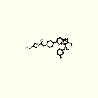 CCc1nc2ccc(C3CCN(CC(=O)N4CC(O)C4)CC3)nn2c1N(C)c1c[c]cc(F)c1